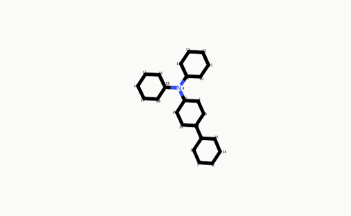 C1CCC(C2CCC(N(C3CCCCC3)C3CCCCC3)CC2)CC1